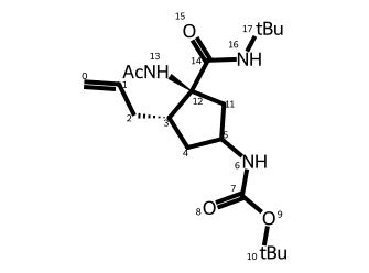 C=CC[C@H]1CC(NC(=O)OC(C)(C)C)C[C@@]1(NC(C)=O)C(=O)NC(C)(C)C